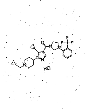 Cl.O=C(c1cnn(C2CCN(CC3CC3)CC2)c1C1CC1)N1CC[C@@H](c2ccccc2C(F)(F)F)C1